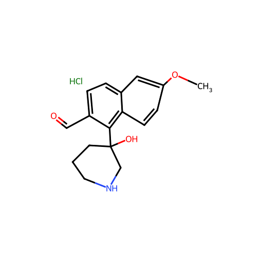 COc1ccc2c(C3(O)CCCNC3)c(C=O)ccc2c1.Cl